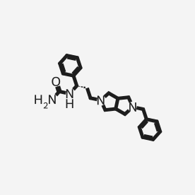 NC(=O)N[C@@H](CCN1CC2CN(Cc3ccccc3)CC2C1)c1ccccc1